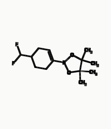 CC1(C)OB(C2=CCC(C(F)F)CC2)OC1(C)C